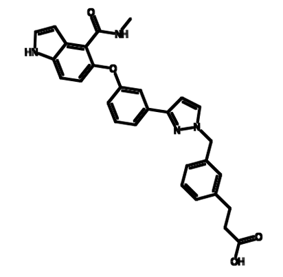 CNC(=O)c1c(Oc2cccc(-c3ccn(Cc4cccc(CCC(=O)O)c4)n3)c2)ccc2[nH]ccc12